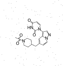 CS(=O)(=O)N1CCC(Cc2ccn3ncc(-n4ccc(=O)[nH]c4=O)c3c2)CC1